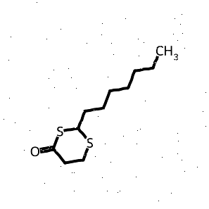 CCCCCCCC1SCCC(=O)S1